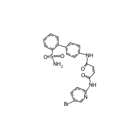 NS(=O)(=O)c1ccccc1-c1ccc(NC(=O)/C=C\C(=O)Nc2ccc(Br)cn2)cc1